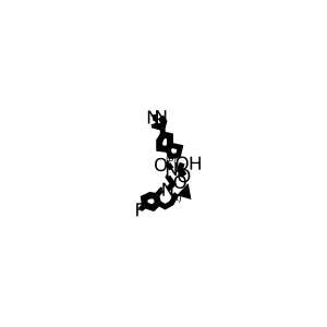 Cn1cc(-c2ccc3c(c2)CC[C@@H]3C(=O)N(CC(=O)N2Cc3ccc(F)cc3CC[C@@H]2C2CC2)C(=O)O)cn1